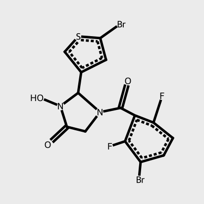 O=C1CN(C(=O)c2c(F)ccc(Br)c2F)C(c2csc(Br)c2)N1O